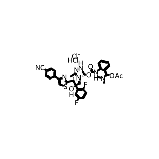 CC(=O)OC(c1ccccc1NC(=O)Oc1[nH]nc(C)[n+]1C[C@](O)(c1cc(F)ccc1F)[C@@H](C)c1nc(-c2ccc(C#N)cc2)cs1)N(C)C.Cl.[Cl-]